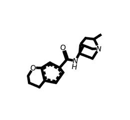 CC1CC2CCN1CC2NC(=O)c1ccc2c(c1)OCCC2